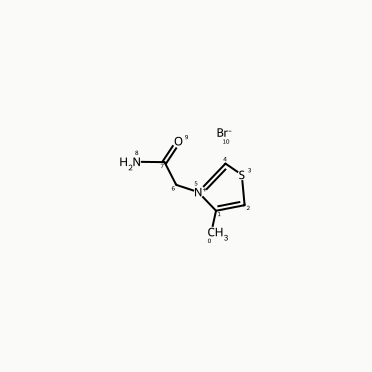 Cc1csc[n+]1CC(N)=O.[Br-]